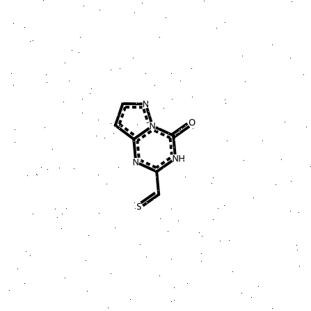 O=c1[nH]c(C=S)nc2ccnn12